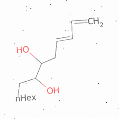 C=CC=CCC(O)C(O)CCCCCCC